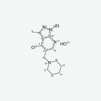 CCn1nc(C)c2c(Cl)c(CN3CCCCC3)cnc21.Cl